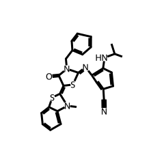 CC(C)Nc1ccc(C#N)cc1N=C1SC(=C2Sc3ccccc3N2C)C(=O)N1Cc1ccccc1